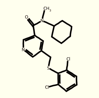 CN(C(=O)c1cncc(CSc2c(Cl)cccc2Cl)c1)C1CCCCC1